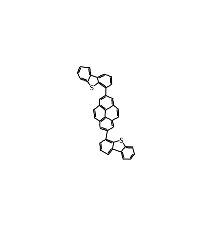 c1ccc2c(c1)sc1c(-c3cc4ccc5cc(-c6cccc7c6sc6ccccc67)cc6ccc(c3)c4c56)cccc12